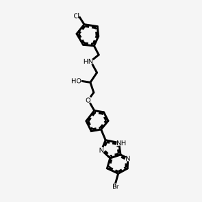 OC(CNCc1ccc(Cl)cc1)COc1ccc(-c2nc3cc(Br)cnc3[nH]2)cc1